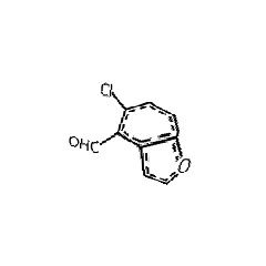 O=Cc1c(Cl)ccc2occc12